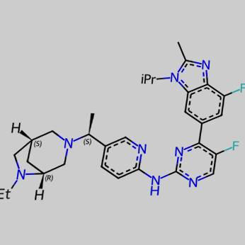 CCN1C[C@H]2C[C@@H]1CN([C@@H](C)c1ccc(Nc3ncc(F)c(-c4cc(F)c5nc(C)n(C(C)C)c5c4)n3)nc1)C2